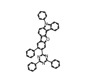 c1ccc(-c2nc(-c3ccccc3)nc(-c3cc4oc5c(ccc6c5c5ccccc5n6-c5ccccc5)c4cc3-c3ccccc3)n2)cc1